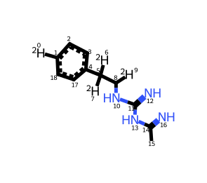 [2H]c1ccc(C([2H])([2H])C([2H])NC(=N)NC(C)=N)cc1